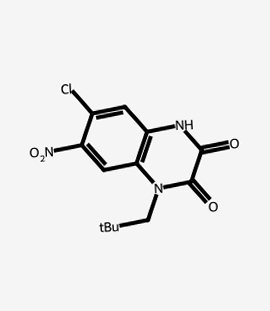 CC(C)(C)Cn1c(=O)c(=O)[nH]c2cc(Cl)c([N+](=O)[O-])cc21